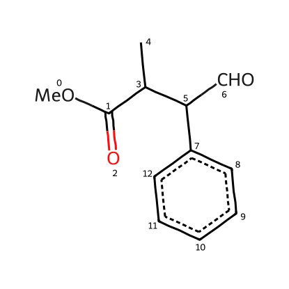 COC(=O)C(C)C(C=O)c1ccccc1